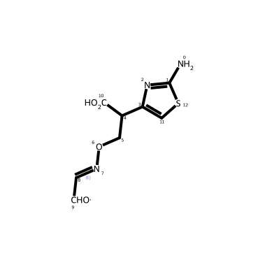 Nc1nc(C(CO/N=C/[C]=O)C(=O)O)cs1